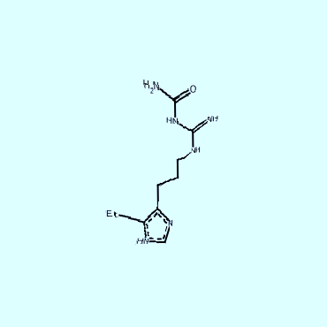 CCc1[nH]cnc1CCCNC(=N)NC(N)=O